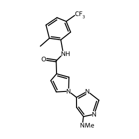 CNc1cc(-n2ccc(C(=O)Nc3cc(C(F)(F)F)ccc3C)c2)ncn1